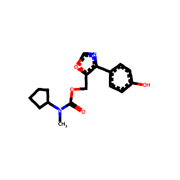 CN(C(=O)OCc1ocnc1-c1ccc(O)cc1)C1CCCC1